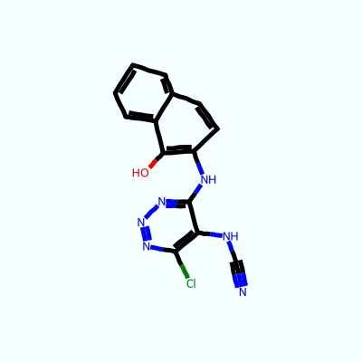 N#CNc1c(Cl)nnnc1Nc1ccc2ccccc2c1O